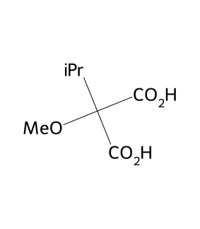 COC(C(=O)O)(C(=O)O)C(C)C